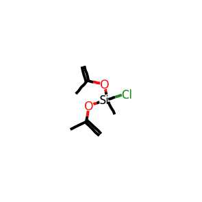 C=C(C)O[Si](C)(Cl)OC(=C)C